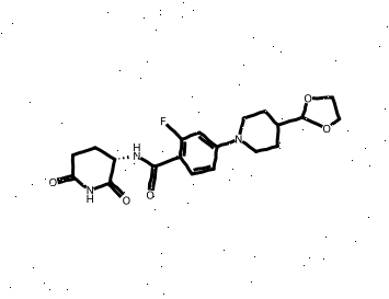 O=C1CC[C@H](NC(=O)c2ccc(N3CCC(C4OCCO4)CC3)cc2F)C(=O)N1